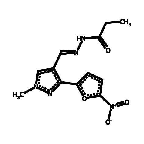 CCC(=O)NN=Cc1cn(C)nc1-c1ccc([N+](=O)[O-])o1